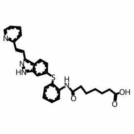 O=C(O)CCCCCC(=O)Nc1ccccc1Sc1ccc2c(C=Cc3ccccn3)n[nH]c2c1